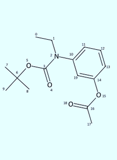 CCN(C(=O)OC(C)(C)C)c1cccc(OC(C)=O)c1